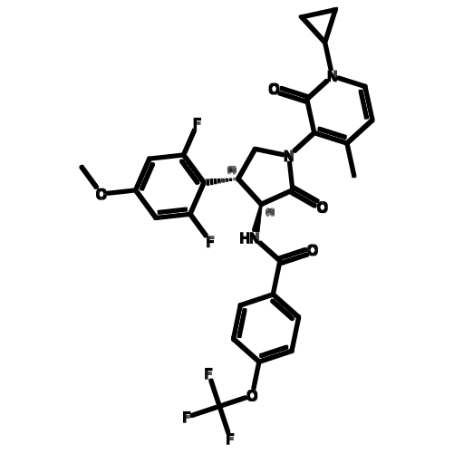 COc1cc(F)c([C@@H]2CN(c3c(C)ccn(C4CC4)c3=O)C(=O)[C@H]2NC(=O)c2ccc(OC(F)(F)F)cc2)c(F)c1